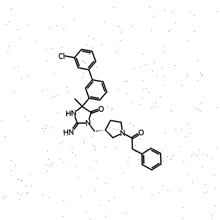 CC1(c2cccc(-c3cccc(Cl)c3)c2)NC(=N)N(C[C@@H]2CCN(C(=O)Cc3ccccc3)C2)C1=O